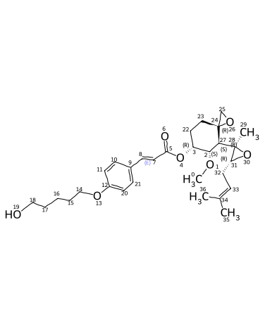 CO[C@@H]1[C@H](OC(=O)/C=C/c2ccc(OCCCCCO)cc2)CC[C@]2(CO2)[C@H]1[C@@]1(C)O[C@@H]1CC=C(C)C